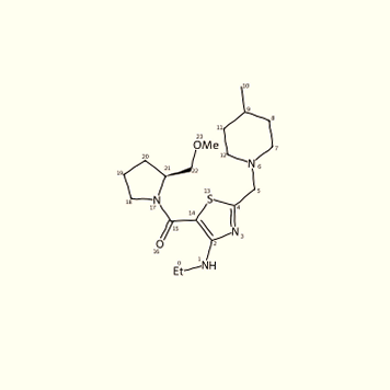 CCNc1nc(CN2CCC(C)CC2)sc1C(=O)N1CCC[C@H]1COC